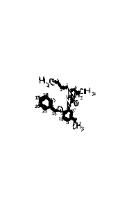 CCCCNCCC.CCc1ccc(OCc2ccccc2)c(NC(N)=O)c1